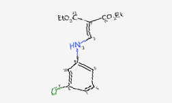 CCOC(=O)C(=CNc1cccc(Cl)c1)C(=O)OCC